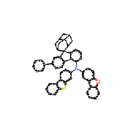 c1ccc(-c2ccc3c(c2)C2(c4cccc(N(c5ccc6c(c5)sc5ccccc56)c5ccc6oc7ccccc7c6c5)c4-3)C3CC4CC(C3)CC2C4)cc1